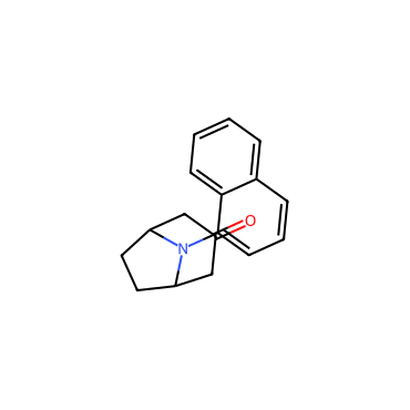 O=C1CC2CCC(C1)N2c1cccc2ccccc12